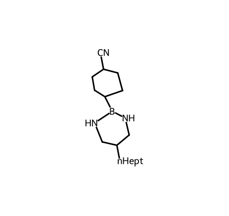 CCCCCCCC1CNB(C2CCC(C#N)CC2)NC1